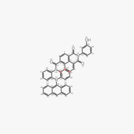 O=C1c2ccc3c4c(ccc(c24)C(=O)N1c1cccc(O)c1)C(=O)N(c1ccccc1N(c1ccccc1)c1c2ccccc2cc2ccccc12)C3=O